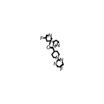 CC1([C@@H]2CC=NN2C(=O)C2CCN(c3ncc(F)cn3)CC2)C=NC=C(F)C1